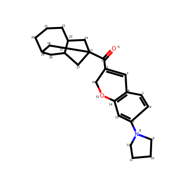 O=C(C1=Cc2ccc(N3CCCC3)cc2OC1)C12CC3CCCC(C1)C(C3)C2